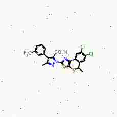 Cc1nn(-c2nc3c(s2)SC(C)c2cc(Cl)c(Cl)cc2-3)c(C(=O)O)c1-c1cccc(C(F)(F)F)c1